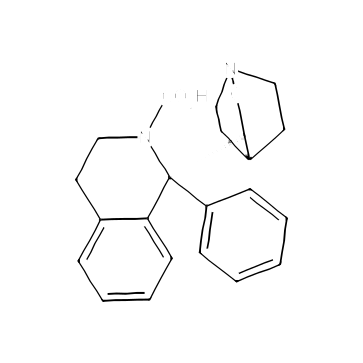 O=C(O)N1CCc2ccccc2[C@@]1(c1ccccc1)C1CN2CCC1CC2